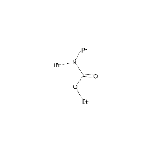 C[CH]OC(=O)N(C(C)C)C(C)C